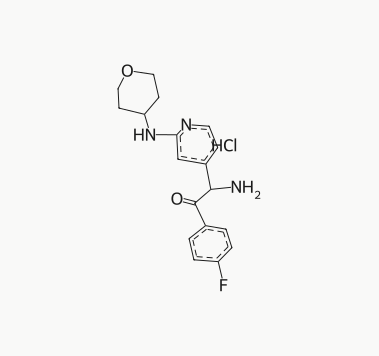 Cl.NC(C(=O)c1ccc(F)cc1)c1ccnc(NC2CCOCC2)c1